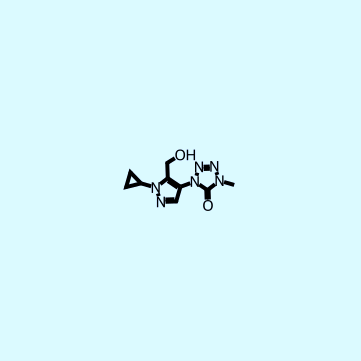 Cn1nnn(-c2cnn(C3CC3)c2CO)c1=O